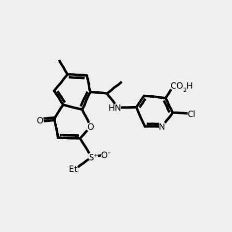 CC[S+]([O-])c1cc(=O)c2cc(C)cc(C(C)Nc3cnc(Cl)c(C(=O)O)c3)c2o1